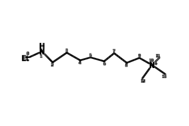 CCNCCCCCCCC[N+](C)(C)C